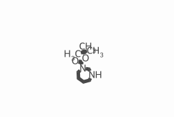 CC(C)(C)OC(=O)N1CCCCNC1